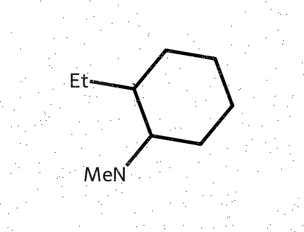 CC[C]1CCCCC1NC